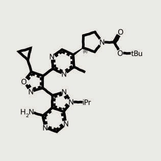 Cc1nc(-c2c(-c3nn(C(C)C)c4ncnc(N)c34)noc2C2CC2)ncc1[C@H]1CCN(C(=O)OC(C)(C)C)C1